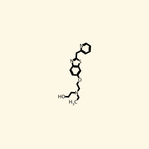 CCN(CCO)CCOc1ccc2nc(Cc3ccccn3)sc2c1